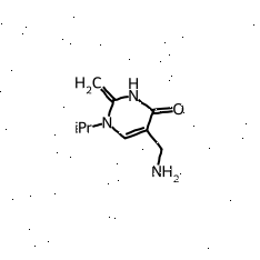 C=C1NC(=O)C(CN)=CN1C(C)C